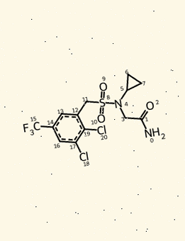 NC(=O)CN(C1CC1)S(=O)(=O)Cc1cc(C(F)(F)F)cc(Cl)c1Cl